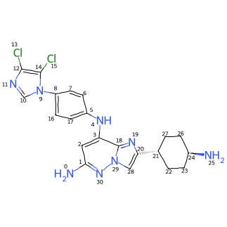 Nc1cc(Nc2ccc(-n3cnc(Cl)c3Cl)cc2)c2nc([C@H]3CC[C@H](N)CC3)cn2n1